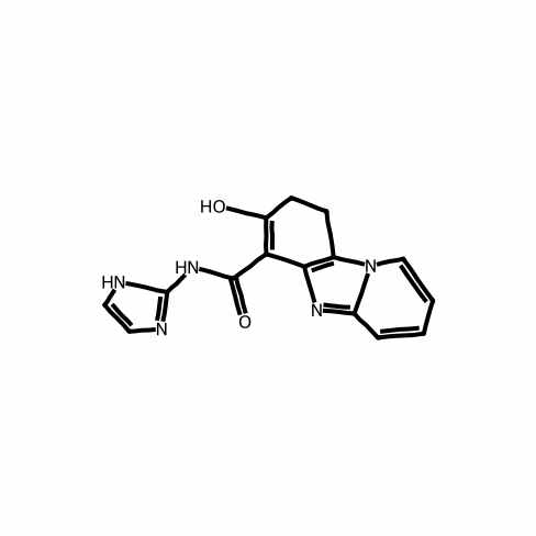 O=C(Nc1ncc[nH]1)C1=C(O)CCc2c1nc1ccccn21